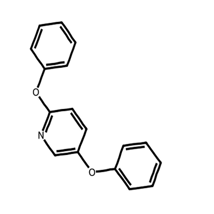 c1ccc(Oc2ccc(Oc3ccccc3)nc2)cc1